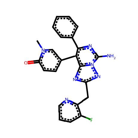 Cn1cc(-c2c(-c3ccccc3)nc(N)n3nc(Cc4ncccc4F)nc23)ccc1=O